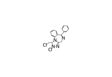 ClCC1N(Cl)N=C2CN=C(c3ccccc3)c3ccccc3N21